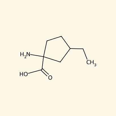 CCC1CCC(N)(C(=O)O)C1